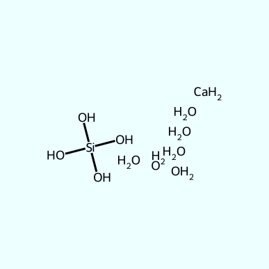 O.O.O.O.O.O.O[Si](O)(O)O.[CaH2]